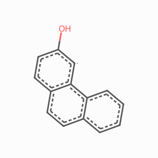 Oc1[c]c2c(cc1)ccc1ccccc12